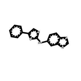 c1ccc(-c2cnc(Nc3ccc4scnc4c3)o2)cc1